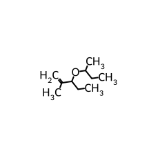 C=C(C)C(CC)OC(C)CC